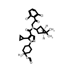 CC1(OC=O)CCC(n2ncc(C(=O)N(CC(=O)c3c(Cl)cccc3Cl)C3C[C@@H]4[C@H](C3)C4(C)C)c2C2CC2)CC1